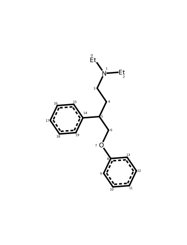 CCN(CC)CCC(COc1ccccc1)c1ccccc1